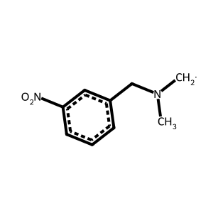 [CH2]N(C)Cc1cccc([N+](=O)[O-])c1